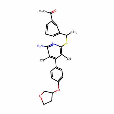 [C-]#[N+]c1c(N)nc(SC(C)c2cccc(C(=O)OC)c2)c(C#N)c1-c1ccc(OC2CCOC2)cc1